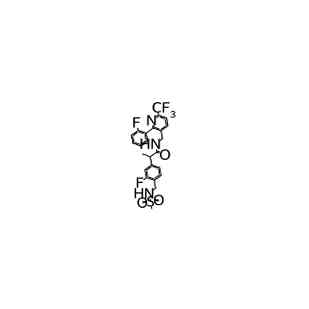 CC(C(=O)NCc1ccc(C(F)(F)F)nc1-c1ccccc1F)c1ccc(CNS(C)(=O)=O)c(F)c1